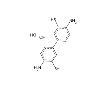 Cl.Cl.Nc1ccc(-c2ccc(N)c(S)c2)cc1S